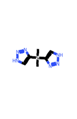 C[Si](C)(c1c[nH]nn1)c1c[nH]nn1